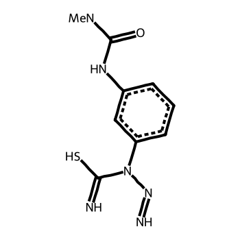 CNC(=O)Nc1cccc(N(N=N)C(=N)S)c1